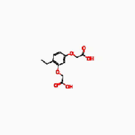 CCc1ccc(OCC(=O)O)cc1OCC(=O)O